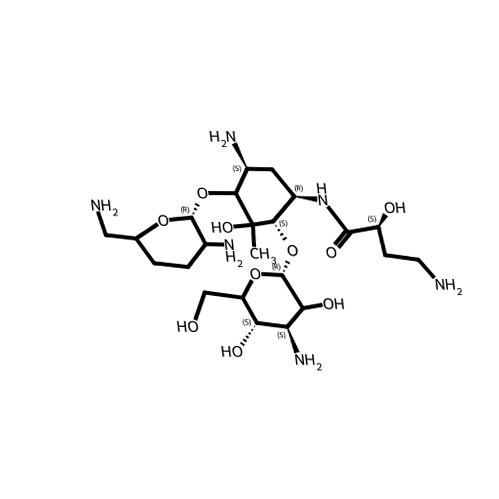 CC1(O)C(O[C@H]2OC(CN)CCC2N)[C@@H](N)C[C@@H](NC(=O)[C@@H](O)CCN)[C@@H]1O[C@H]1OC(CO)[C@@H](O)[C@H](N)C1O